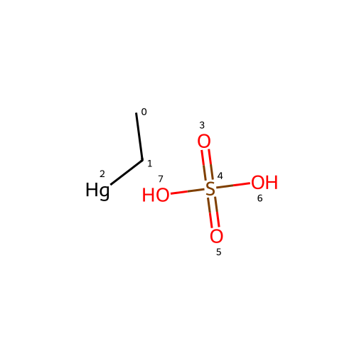 C[CH2][Hg].O=S(=O)(O)O